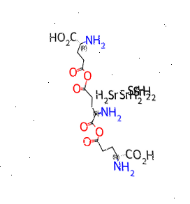 N[C@H](CCC(=O)OC(=O)CC[C@@H](N)C(=O)OC(=O)CC[C@@H](N)C(=O)O)C(=O)O.[SrH2].[SrH2].[SrH2].[SrH2]